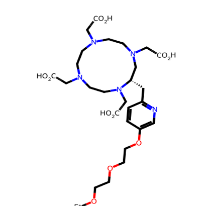 CCOCCOCCOc1ccc(C[C@H]2CN(CC(=O)O)CCN(CC(=O)O)CCN(CC(=O)O)CCN2CC(=O)O)nc1